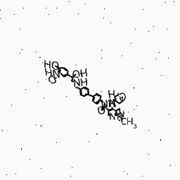 CCn1ncc2c(NC3CCOCC3)c(C(=O)Nc3ccc(-c4ccc(CNC[C@H](O)c5ccc(O)c(NC=O)c5)cc4)cc3)cnc21